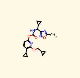 Cc1nc(C(NC(=O)Oc2ccc(C3CC3)c(OCC3CC3)n2)C2CC2)no1